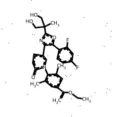 C=C(OCC)c1cc(C)c(-n2cc(-c3nc(C(C)(CO)CO)oc3-c3ccc(F)cc3F)ccc2=O)c(C)c1